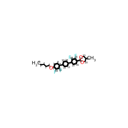 C=CCCCOc1ccc(-c2ccc(-c3ccc(C4OCC(C)CO4)c(F)c3F)cc2)c(F)c1F